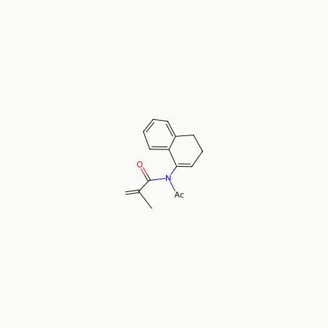 C=C(C)C(=O)N(C(C)=O)C1=CCCc2ccccc21